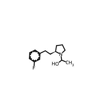 CC(O)N1CCC[C@@H]1CCc1cccc(F)c1